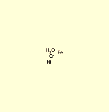 O.[Cr].[Fe].[Ni]